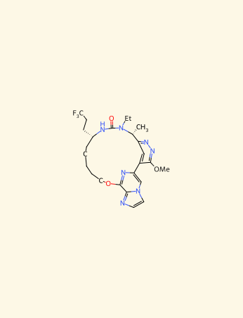 CCN1C(=O)N[C@@H](CCC(F)(F)F)CCCCCOc2nc(cn3ccnc23)-c2cc(nnc2OC)[C@H]1C